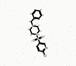 O=S(=O)(c1ccc(Cl)nc1)N1CCN(Cc2ccccc2)CC1